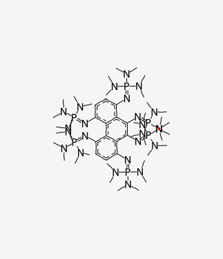 CN(C)P(=Nc1ccc(N=P(N(C)C)(N(C)C)N(C)C)c2c1c(N=P(N(C)C)(N(C)C)N(C)C)c(N=P(N(C)C)(N(C)C)N(C)C)c1c(N=P(N(C)C)(N(C)C)N(C)C)ccc(N=P(N(C)C)(N(C)C)N(C)C)c12)(N(C)C)N(C)C